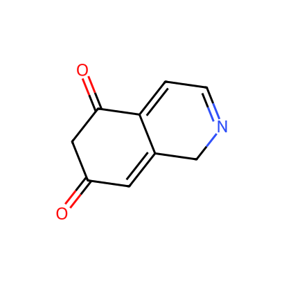 O=C1C=C2CN=CC=C2C(=O)C1